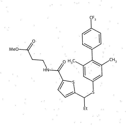 CCC(Sc1cc(C)c(-c2ccc(C(F)(F)F)cc2)c(C)c1)c1ccc(C(=O)NCCC(=O)OC)s1